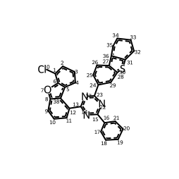 Clc1cccc2c1oc1cccc(-c3nc(-c4ccccc4)nc(-c4ccc5c(c4)sc4ccccc45)n3)c12